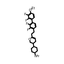 CCCC1CCC(C2CC=C(CCc3ccc(-c4ccc(OCC)c(F)c4F)c(F)c3F)OC2)CC1